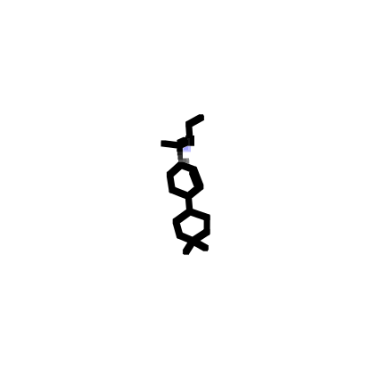 CC/N=C(\C)[C@@H]1C=CC(C2CCC(C)(C)CC2)CC1